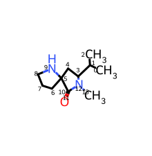 CC(C)C1CC2(CCCN2)C(=O)N1C